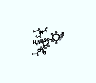 CCN(CC)CC.CCOC(=O)c1cc(-c2ccc(F)cc2)sc1N